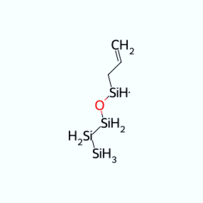 C=CC[SiH]O[SiH2][SiH2][SiH3]